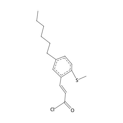 CCCCCCc1ccc(SC)c(/C=C/C(=O)Cl)c1